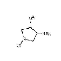 CCC[C@H]1CN(Cl)C[C@H]1O